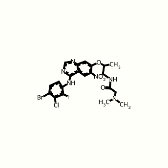 CC(CNC(=O)CN(C)C)Oc1cc2ncnc(Nc3ccc(Br)c(Cl)c3F)c2cc1[N+](=O)[O-]